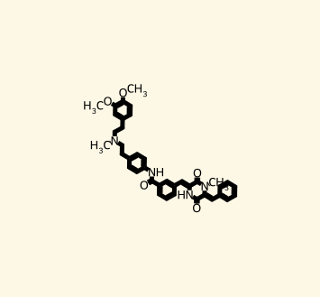 COc1ccc(CCN(C)CCc2ccc(NC(=O)c3cccc(/C=c4\[nH]c(=O)/c(=C/c5ccccc5)n(C)c4=O)c3)cc2)cc1OC